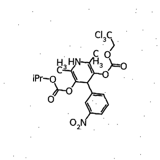 CC1=C(OC(=O)OCC(Cl)(Cl)Cl)C(c2cccc([N+](=O)[O-])c2)C(OC(=O)OC(C)C)=C(C)N1